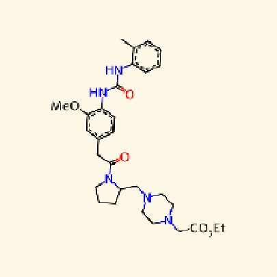 CCOC(=O)CN1CCN(CC2CCCN2C(=O)Cc2ccc(NC(=O)Nc3ccccc3C)c(OC)c2)CC1